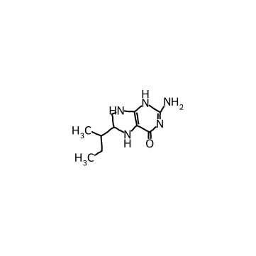 CCC(C)C1CNc2[nH]c(N)nc(=O)c2N1